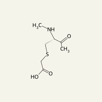 CN[C@@H](CSCC(=O)O)C(C)=O